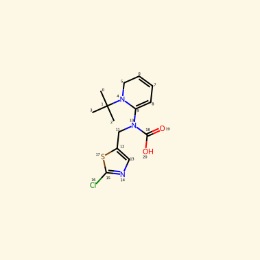 CC(C)(C)N1CC=CC=C1N(Cc1cnc(Cl)s1)C(=O)O